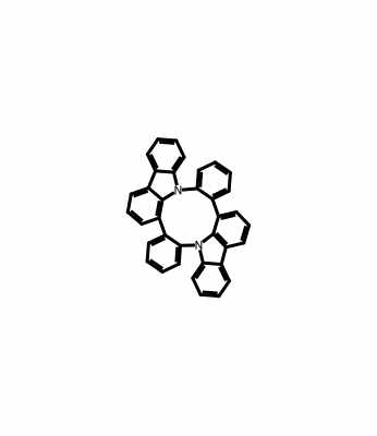 c1ccc2c(c1)c1cccc3c4ccccc4n4c5ccccc5c5cccc(c6ccccc6n2c13)c54